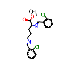 COC(=O)C(CCCN=Cc1ccccc1Cl)N=Cc1ccccc1Cl